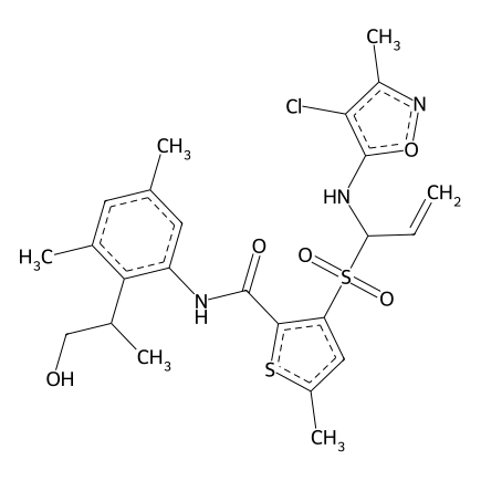 C=CC(Nc1onc(C)c1Cl)S(=O)(=O)c1cc(C)sc1C(=O)Nc1cc(C)cc(C)c1C(C)CO